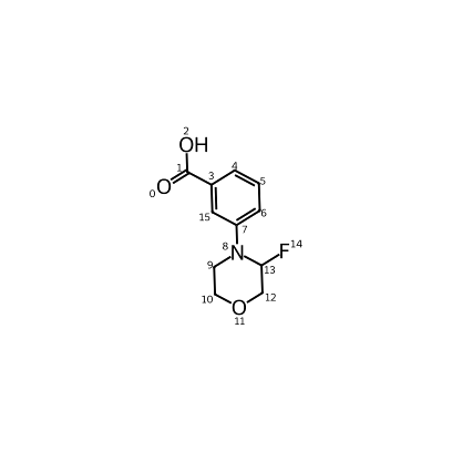 O=C(O)c1cccc(N2CCOCC2F)c1